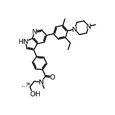 CCc1cc(-c2cnc3[nH]cc(-c4ccc(C(=O)N(C)C[C@@H](C)O)cc4)c3c2)cc(C)c1N1CCN(C)CC1